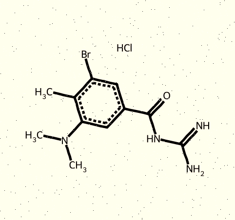 Cc1c(Br)cc(C(=O)NC(=N)N)cc1N(C)C.Cl